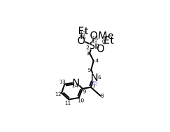 CCO[Si](CCC/N=C(/C)c1ccccn1)(OC)OCC